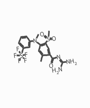 Cc1cc(N(C)c2cccc(S(F)(F)(F)(F)F)c2)c(S(C)(=O)=O)cc1C(=O)N=C(N)N